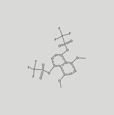 COc1ccc(OC)c2c(OS(=O)(=O)C(F)(F)F)ccc(OS(=O)(=O)C(F)(F)F)c12